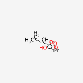 CCCc1cc(O)c(C/C=C(\C)CCC=C(C)C)c2c1C(=O)OCO2